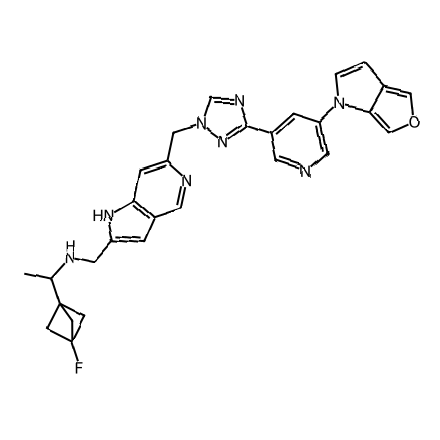 CC(NCc1cc2cnc(Cn3cnc(-c4cncc(-n5ccc6cocc65)c4)n3)cc2[nH]1)C12CC(F)(C1)C2